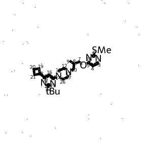 CSc1nccc(OCC(C)CN2CCN(c3cc(C4CCC4)nc(C(C)(C)C)n3)CC2)n1